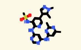 Cc1cc(Nc2cc(Nc3ncc(-c4cnn(C)c4C)cc3NS(C)(=O)=O)ncn2)nc(C)n1